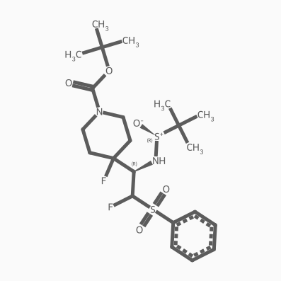 CC(C)(C)OC(=O)N1CCC(F)([C@@H](N[S@@+]([O-])C(C)(C)C)C(F)S(=O)(=O)c2ccccc2)CC1